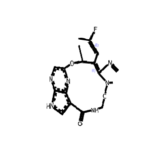 C=N/C1=C(\C=C(/C)F)C(C)Oc2cnc3[nH]cc(c3n2)C(=O)NCCN1C